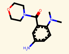 CN(C)c1ccc(N)cc1C(=O)N1CCOCC1